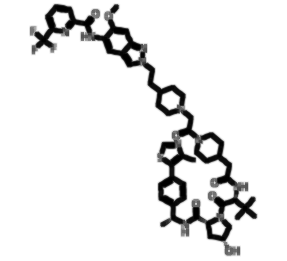 COc1cc2nn(CCC3CCN(CC(=O)N4CCC(CC(=O)N[C@H](C(=O)N5C[C@H](O)C[C@H]5C(=O)N[C@@H](C)c5ccc(-c6scnc6C)cc5)C(C)(C)C)CC4)CC3)cc2cc1NC(=O)c1cccc(C(F)(F)F)n1